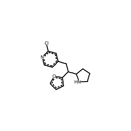 Clc1cc(CC(c2ccco2)C2CCCN2)ccn1